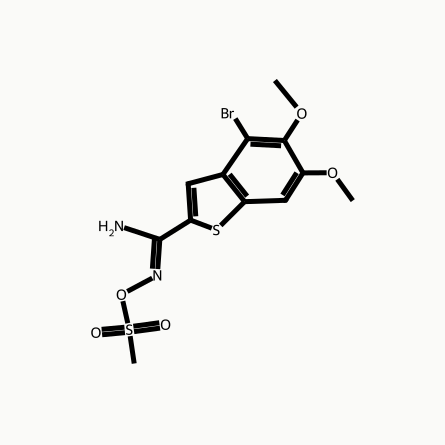 COc1cc2sc(C(N)=NOS(C)(=O)=O)cc2c(Br)c1OC